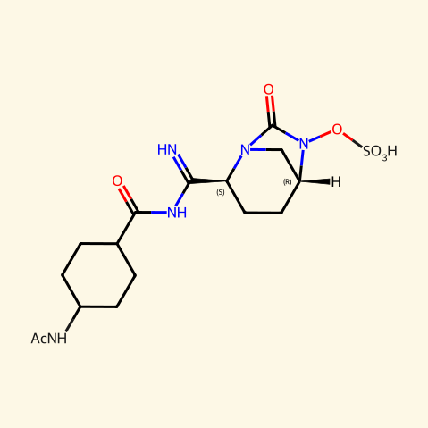 CC(=O)NC1CCC(C(=O)NC(=N)[C@@H]2CC[C@@H]3CN2C(=O)N3OS(=O)(=O)O)CC1